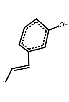 [CH2]C=Cc1cccc(O)c1